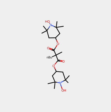 CCCCC(C)(C(=O)OC1CC(C)(C)N(O)C(C)(C)C1)C(=O)OC1CC(C)(C)N(O)C(C)(C)C1